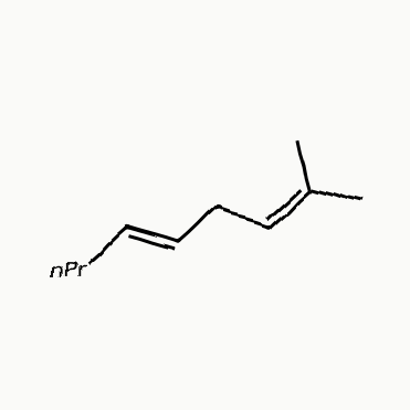 C[CH]CC=CCC=C(C)C